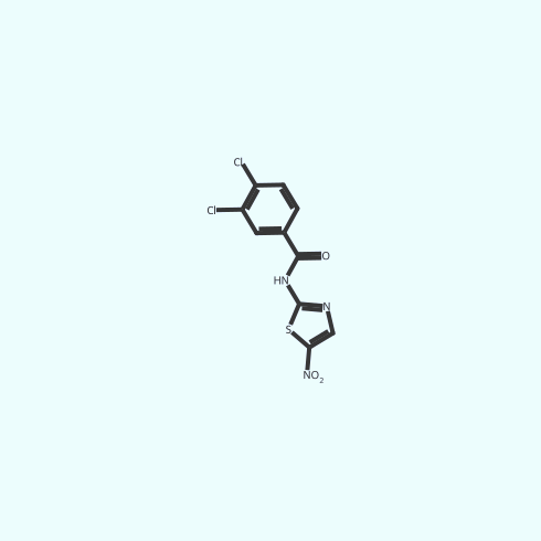 O=C(Nc1ncc([N+](=O)[O-])s1)c1ccc(Cl)c(Cl)c1